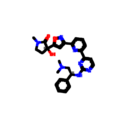 CN(C)C[C@@H](Nc1nccc(-c2cccc(-c3cc([C@]4(O)CCN(C)C4=O)on3)n2)n1)c1ccccc1